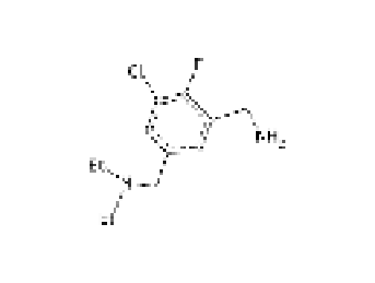 CCN(CC)Cc1cc(Cl)c(F)c(CN)c1